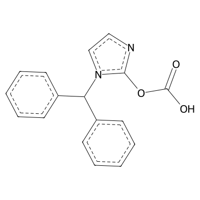 O=C(O)Oc1nccn1C(c1ccccc1)c1ccccc1